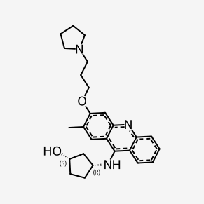 Cc1cc2c(N[C@@H]3CC[C@H](O)C3)c3ccccc3nc2cc1OCCCN1CCCC1